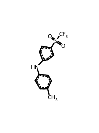 Cc1ccc(Nc2ccc(S(=O)(=O)C(F)(F)F)cc2)cc1